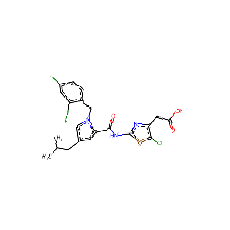 CC(C)Cc1cc(C(=O)Nc2nc(CC(=O)O)c(Cl)s2)n(Cc2ccc(F)cc2F)c1